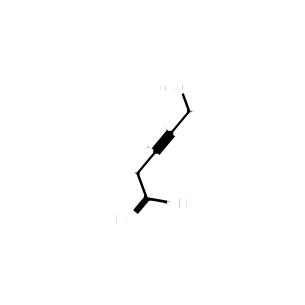 C=C(C)CC#CCCCCC